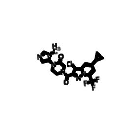 Cn1cncc1N1CCN(C(=O)c2nn3c(C(F)(F)F)cc(C4CC4)cc3c2Cl)CC1=O